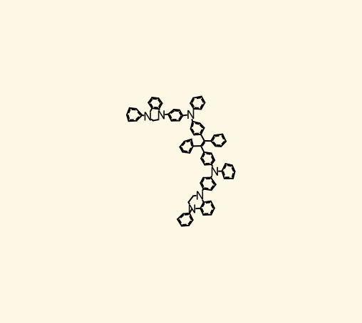 c1ccc(/C(=C(/c2ccccc2)c2ccc(N(c3ccccc3)c3ccc(N4CCN(c5ccccc5)c5ccccc54)cc3)cc2)c2ccc(N(c3ccccc3)c3ccc(N4CCN(c5ccccc5)c5ccccc54)cc3)cc2)cc1